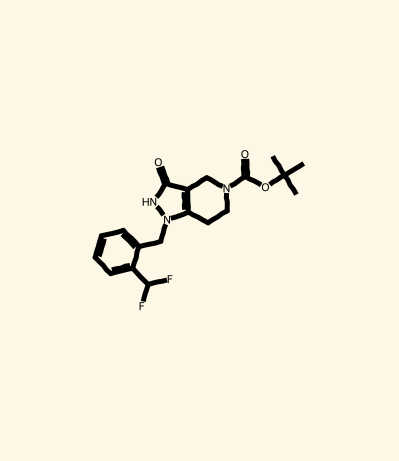 CC(C)(C)OC(=O)N1CCc2c(c(=O)[nH]n2Cc2ccccc2C(F)F)C1